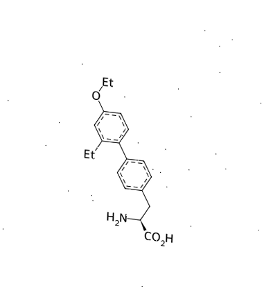 CCOc1ccc(-c2ccc(C[C@H](N)C(=O)O)cc2)c(CC)c1